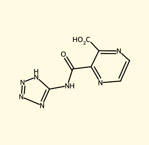 O=C(O)c1nccnc1C(=O)Nc1nnn[nH]1